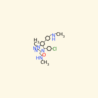 CCNCc1ccc(-c2ccc3c(c2)C(c2ccc(Cl)cc2)=N[C@@H](CC(=O)NCC)c2nnc(C)n2-3)cc1